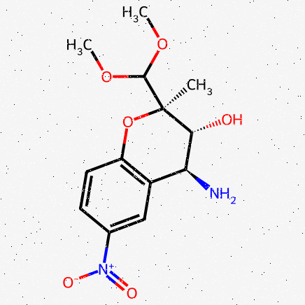 COC(OC)[C@]1(C)Oc2ccc([N+](=O)[O-])cc2[C@H](N)[C@H]1O